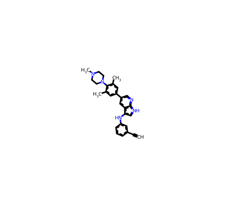 C#Cc1cccc(Nc2c[nH]c3ncc(-c4cc(C)c(N5CCN(C)CC5)c(C)c4)cc23)c1